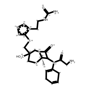 NCC(=O)N(C1=CCC=CC1)C1C(=O)N2CC(CSc3nnnn3CCNC(N)=O)(C(=O)O)CS[C@H]12